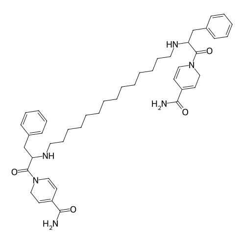 NC(=O)C1=CCN(C(=O)C(Cc2ccccc2)NCCCCCCCCCCCCCCNC(Cc2ccccc2)C(=O)N2C=CC(C(N)=O)=CC2)C=C1